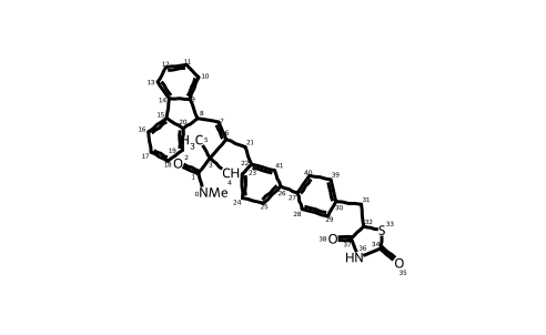 CNC(=O)C(C)(C)C(=CC1c2ccccc2-c2ccccc21)Cc1cccc(-c2ccc(CC3SC(=O)NC3=O)cc2)c1